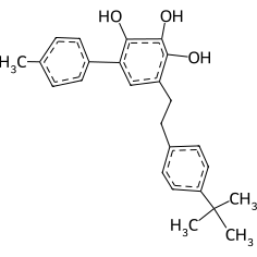 Cc1ccc(-c2cc(CCc3ccc(C(C)(C)C)cc3)c(O)c(O)c2O)cc1